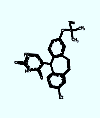 CCc1ccc2c(c1)C=Cc1cc(O[Si](C)(C)C(C)(C)C)ccc1C2c1c[nH]c(=O)[nH]c1=O